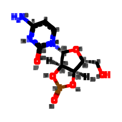 Nc1ccn([C@@H]2O[C@H](CO)[C@H]3OS(=O)O[C@H]32)c(=O)n1